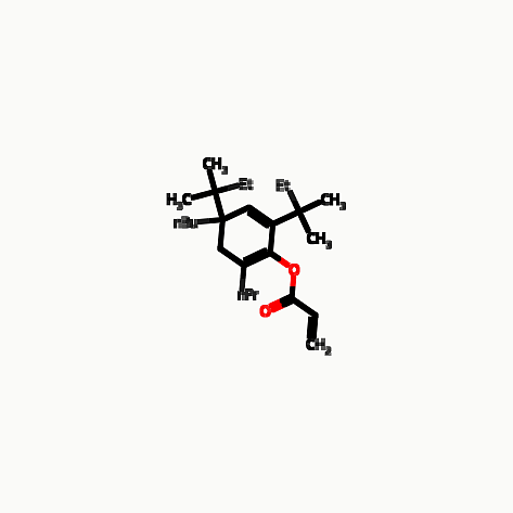 C=CC(=O)OC1=C(CCC)CC(CCCC)(C(C)(C)CC)C=C1C(C)(C)CC